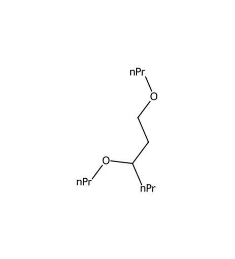 C[CH]COCCC(C[CH]C)OC[CH]C